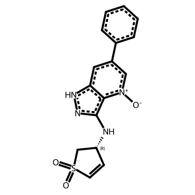 O=S1(=O)C=C[C@@H](Nc2n[nH]c3cc(-c4ccccc4)c[n+]([O-])c23)C1